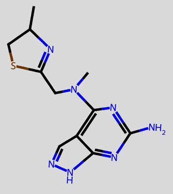 CC1CSC(CN(C)c2nc(N)nc3[nH]ncc23)=N1